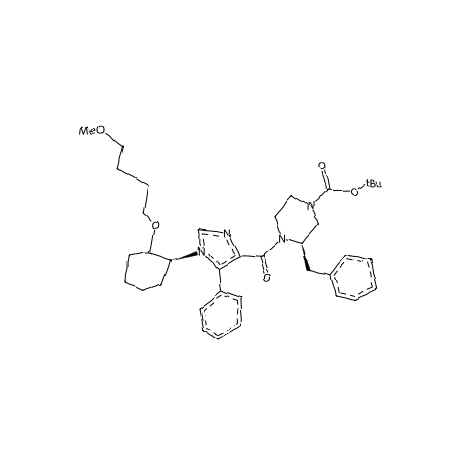 COCCCCOC1CCCC[C@@H]1n1cnc(C(=O)N2CCN(C(=O)OC(C)(C)C)C[C@H]2Cc2ccccc2)c1-c1ccccc1